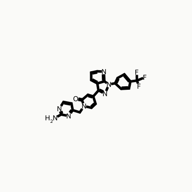 Nc1nccc(Cn2ccc(-c3nn(-c4ccc(C(F)(F)F)cc4)c4ncccc34)cc2=O)n1